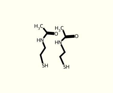 CC(=O)NCCS.CC(=O)NCCS